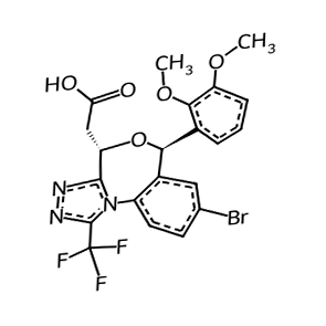 COc1cccc([C@@H]2O[C@@H](CC(=O)O)c3nnc(C(F)(F)F)n3-c3ccc(Br)cc32)c1OC